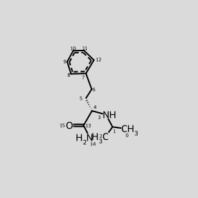 CC(C)N[C@@H](CCc1ccccc1)C(N)=O